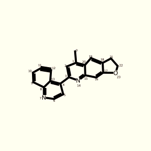 Cc1cc(-c2ccnc3ccc#cc23)nc2cc3c(cc12)CCO3